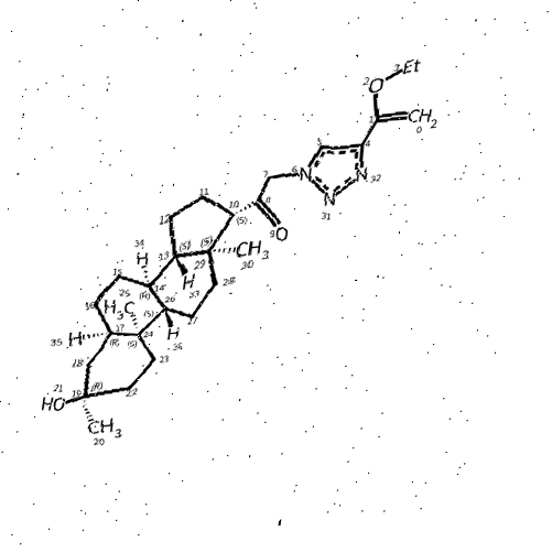 C=C(OCC)c1cn(CC(=O)[C@H]2CC[C@H]3[C@@H]4CC[C@@H]5C[C@](C)(O)CC[C@]5(C)[C@H]4CC[C@]23C)nn1